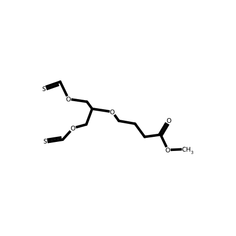 COC(=O)CCCOC(COC=S)COC=S